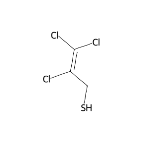 SCC(Cl)=C(Cl)Cl